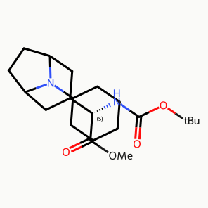 COC(=O)[C@@H](NC(=O)OC(C)(C)C)C1CC2CCC(C1)N2C1CCCCC1